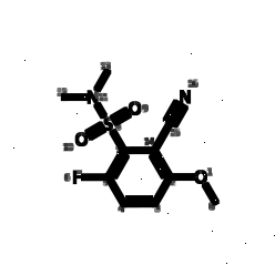 COc1ccc(F)c(S(=O)(=O)N(C)C)c1C#N